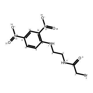 O=C(CBr)NCCNc1ccc([N+](=O)[O-])cc1[N+](=O)[O-]